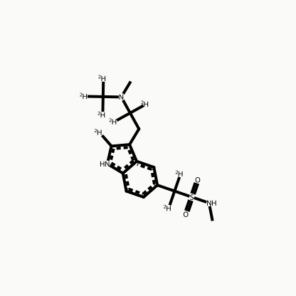 [2H]c1[nH]c2ccc(C([2H])([2H])S(=O)(=O)NC)cc2c1CC([2H])([2H])N(C)C([2H])([2H])[2H]